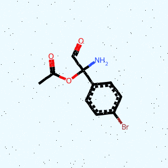 CC(=O)OC(N)(C=O)c1ccc(Br)cc1